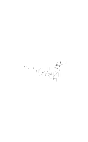 COCCN1CCc2ccc(Nc3ncc(Cl)c(NC4CCC(N(CC#N)S(C)(=O)=O)CC4)n3)cc2CC1